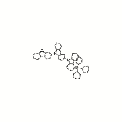 c1ccc([Si](c2ccccc2)(c2ccccc2)c2cccc3c2c2ccccc2n3-c2ccc3c(c2)c2ccccc2n3-c2ccc3c(c2)oc2ccccc23)cc1